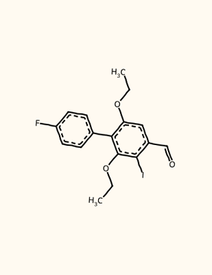 CCOc1cc(C=O)c(I)c(OCC)c1-c1ccc(F)cc1